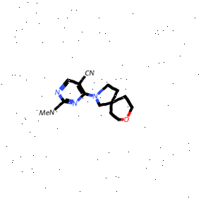 CNc1ncc(C#N)c(N2CCC3(CCOCC3)C2)n1